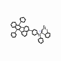 C=N/C=C(\c1ccccc1C)N(c1ccccc1)c1ccc(-c2ccc3c4c(cccc24)-c2c-3c(-c3ccccc3)c3ccccc3c2-c2ccccc2)cc1